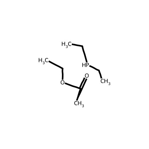 CCOC(C)=O.CCPCC